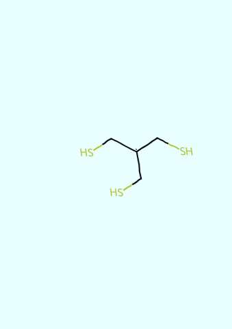 SC[C](CS)CS